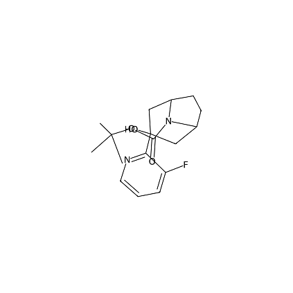 CC(C)(C)OC(=O)N1C2CCC1CC(O)(c1ncccc1F)C2